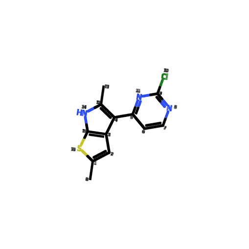 Cc1cc2c(-c3ccnc(Cl)n3)c(C)[nH]c2s1